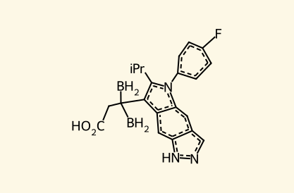 BC(B)(CC(=O)O)c1c(C(C)C)n(-c2ccc(F)cc2)c2cc3cn[nH]c3cc12